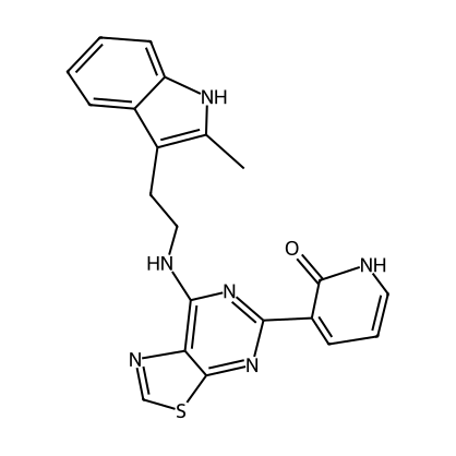 Cc1[nH]c2ccccc2c1CCNc1nc(-c2ccc[nH]c2=O)nc2scnc12